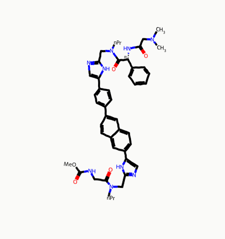 CCCN(Cc1ncc(-c2ccc3cc(-c4ccc(-c5cnc(CN(CCC)C(=O)[C@H](NC(=O)CN(C)C)c6ccccc6)[nH]5)cc4)ccc3c2)[nH]1)C(=O)CNC(=O)OC